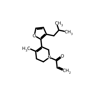 C=CC(=O)N1CCC(C)=C(c2occc2CC(C)C)C1